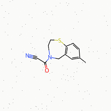 Cc1ccc2c(c1)CN(C(=O)C#N)CCS2